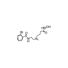 CN(CCCC(=O)NO)CCNC(=O)c1ccccc1Br